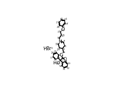 Br.O=C(OCC1CCN(CCCOc2ccccc2)CC1)C(O)(c1ccccc1)c1ccccc1